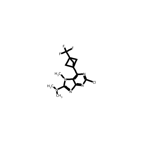 CN(C)c1nc2nc(Cl)nc(C34CC(C(F)(F)F)(C3)C4)c2n1C